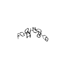 CC(NC(=O)c1ccc(F)cc1)c1ccc2c(n1)CCCN2C(=O)C1CCOCC1